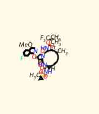 CC[C@@H]1C[C@H](C)CCC=C[C@@H]2C[C@@]2(C(=O)NS(=O)(=O)C2(C)CC2)NC(=O)[C@@H]2C[C@@H](Oc3ncc(OC)c4ccc(F)cc34)CN2C(=O)[C@H]1NC(=O)OC(C)(C)C(F)(F)F